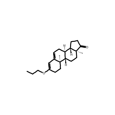 CCCOC1=CC2=CC[C@@H]3[C@H](CC[C@]4(C)C(=O)CC[C@@H]34)[C@@]2(C)CC1